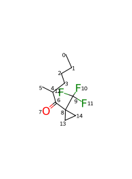 CCCCC(C)C(=O)C1(C(F)(F)F)CC1